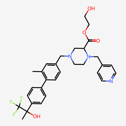 Cc1cc(CN2CCN(Cc3ccncc3)C(C(=O)OCCO)C2)ccc1-c1ccc(C(C)(O)C(F)(F)F)cc1